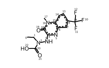 CCN(Nc1nc2cc(C(F)(F)F)ccc2n(C)c1=O)C(=O)O